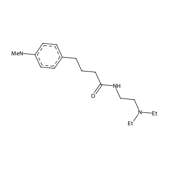 CCN(CC)CCNC(=O)CCCc1ccc(NC)cc1